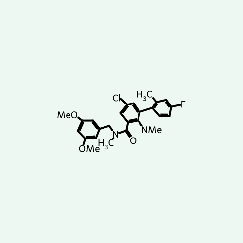 CNc1c(C(=O)N(C)Cc2cc(OC)cc(OC)c2)cc(Cl)cc1-c1ccc(F)cc1C